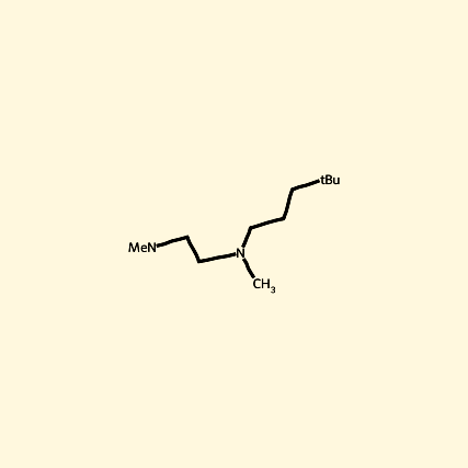 CNCCN(C)CCCC(C)(C)C